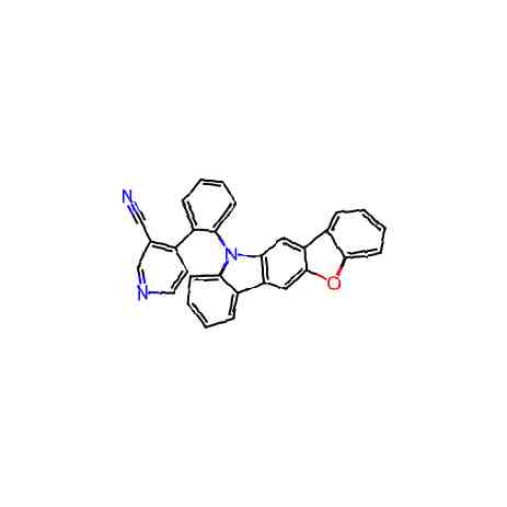 N#Cc1cnccc1-c1ccccc1-n1c2ccccc2c2cc3oc4ccccc4c3cc21